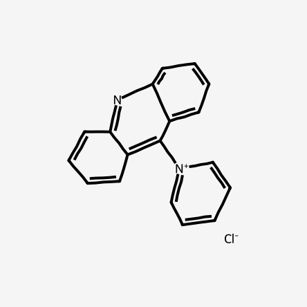 [Cl-].c1cc[n+](-c2c3ccccc3nc3ccccc23)cc1